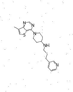 Cc1csc2c(N3CCC(NCCCc4cccnc4)CC3)ncnc12